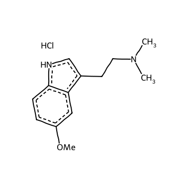 COc1ccc2[nH]cc(CCN(C)C)c2c1.Cl